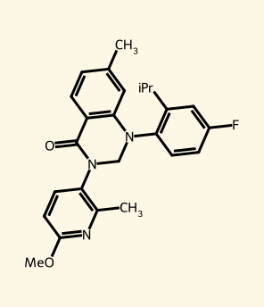 COc1ccc(N2CN(c3ccc(F)cc3C(C)C)c3cc(C)ccc3C2=O)c(C)n1